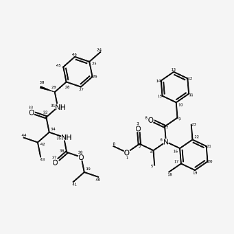 COC(=O)C(C)N(C(=O)Cc1ccccc1)c1c(C)cccc1C.Cc1ccc([C@H](C)NC(=O)C(NC(=O)OC(C)C)C(C)C)cc1